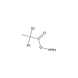 CCCCCCOC(=O)C(C)(CC)C(C)=O